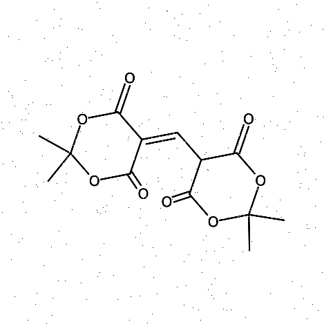 CC1(C)OC(=O)C(=CC2C(=O)OC(C)(C)OC2=O)C(=O)O1